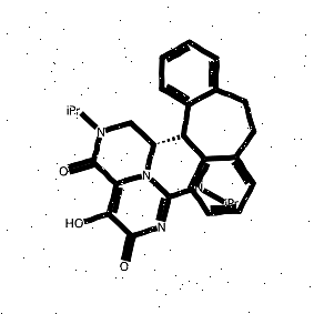 CC(C)Nc1nc(=O)c(O)c2n1[C@@H](C1c3ccccc3CCc3ccccc31)CN(C(C)C)C2=O